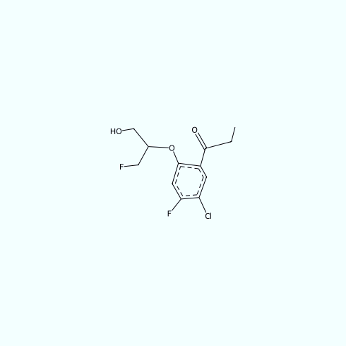 CCC(=O)c1cc(Cl)c(F)cc1OC(CO)CF